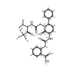 CC(C)C(NC(=O)Cn1c(-c2ccccc2)ccc(NC(=O)Cc2ccccc2C(=O)O)c1=O)C(=O)C(F)(F)F